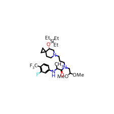 CC[Si](CC)(CC)O[C@@H]1CN(CCCN(CC(OC)OC)C(=O)C(C)Nc2ccc(C(F)(F)F)c(F)c2)CCC12CC2